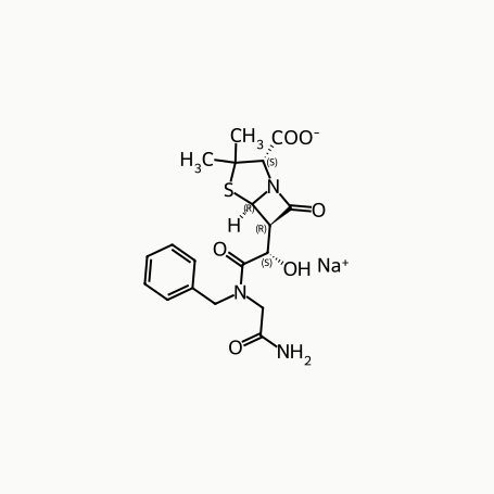 CC1(C)S[C@@H]2[C@H]([C@H](O)C(=O)N(CC(N)=O)Cc3ccccc3)C(=O)N2[C@H]1C(=O)[O-].[Na+]